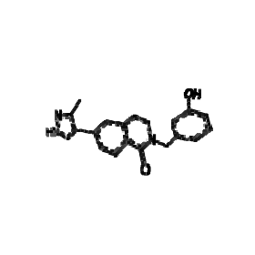 Cc1n[nH]cc1-c1ccc2c(=O)n(Cc3cccc(O)c3)ccc2c1